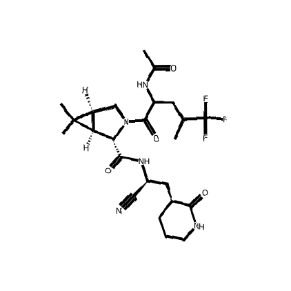 CC(=O)NC(CC(C)C(F)(F)F)C(=O)N1C[C@H]2[C@@H]([C@H]1C(=O)N[C@H](C#N)C[C@@H]1CCCNC1=O)C2(C)C